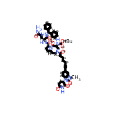 Cn1c(=O)n(C2CCC(=O)NC2=O)c2ccc(C#CCCCCC(=O)N3CC[C@H]4CC[C@@H](C(=O)N[C@@H](CCC(N)=O)C(=O)NC(c5ccccc5)c5ccccc5)N4C(=O)[C@@H](NC(=O)OC(C)(C)C)C3)cc21